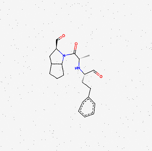 C[C@H](N[C@H](C=O)CCc1ccccc1)C(=O)N1C2CCCC2C[C@H]1C=O